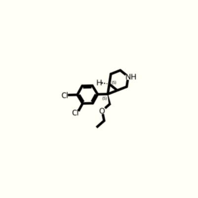 CCOC[C@]1(c2ccc(Cl)c(Cl)c2)C2CNCC[C@@H]21